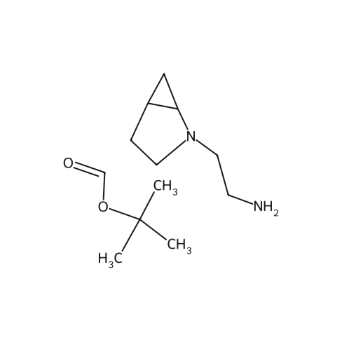 CC(C)(C)OC=O.NCCN1CCC2CC21